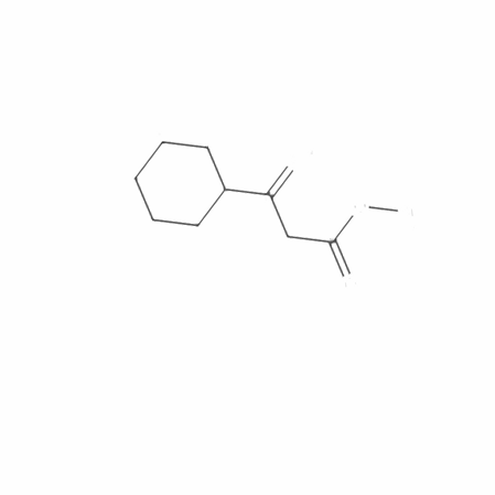 O=C(CC(=O)C1CCCCC1)OBr